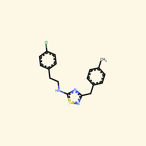 Cc1ccc(Cc2nsc(NCCc3ccc(Cl)cc3)n2)cc1